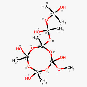 CO[Si]1(O)O[Si](C)(O)O[Si](C)(O)O[Si](C)(O[Si](C)(O)O[Si](C)(C)O)O1